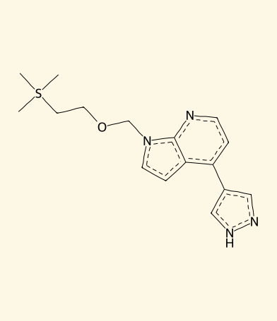 CS(C)(C)CCOCn1ccc2c(-c3cn[nH]c3)ccnc21